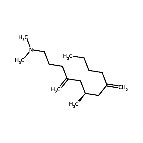 C=C(CCCC)C[C@@H](C)CC(=C)CCCN(C)C